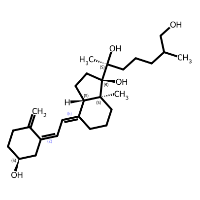 C=C1CC[C@H](O)C/C1=C/C=C1\CCC[C@@]2(C)[C@H]1CC[C@]2(O)[C@@](C)(O)CCCC(C)CO